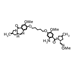 C=C1C[C@H]2C=Nc3cc(OCCCCCOc4cc(N)c(C(=O)N5CC(=C)C[C@H]5/C=N/OC)cc4OC)c(OC)cc3C(=O)N2C1